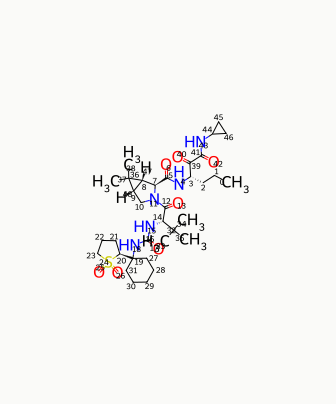 CCC[C@H](NC(=O)[C@@H]1[C@@H]2[C@H](CN1C(=O)[C@@H](NC(=O)NC1([C@@H]3CCCS3(=O)=O)CCCCC1)C(C)(C)C)C2(C)C)C(=O)C(=O)NC1CC1